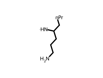 CCCCC([NH])CCCN